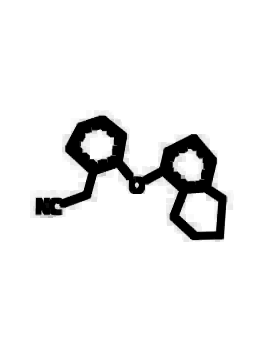 N#CCc1ccccc1Oc1cccc2c1CCCC2